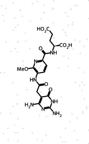 COc1nc(C(=O)N[C@@H](CCC(=O)O)C(=O)O)ccc1NC(=O)Cc1c(N)nc(N)[nH]c1=O